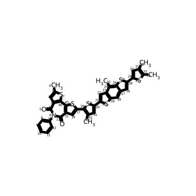 Cc1cc2c(=O)n(-c3ccccc3)c(=O)c3cc(-c4sc(-c5cc6c(C)c7sc(-c8cc(C)c(C)s8)cc7cc6s5)cc4C)sc3c2s1